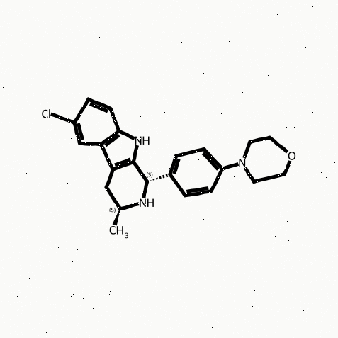 C[C@H]1Cc2c([nH]c3ccc(Cl)cc23)[C@H](c2ccc(N3CCOCC3)cc2)N1